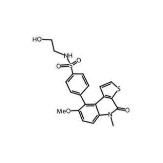 COc1ccc2c(c1-c1ccc(S(=O)(=O)NCCO)cc1)c1ccsc1c(=O)n2C